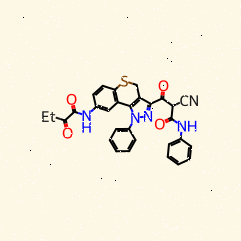 CCC(=O)C(=O)Nc1ccc2c(c1)-c1c(c(C(=O)C(C#N)C(=O)Nc3ccccc3)nn1-c1ccccc1)CS2